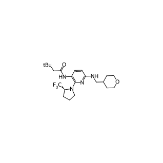 CC(C)(C)CC(=O)Nc1ccc(NCC2CCOCC2)nc1N1CCC[C@H]1C(F)(F)F